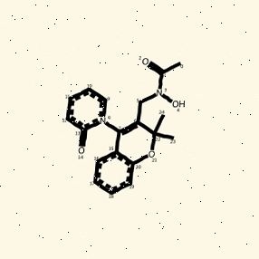 CC(=O)N(O)CC1=C(n2ccccc2=O)c2ccccc2OC1(C)C